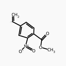 C=[C]c1ccc(C(=O)OC)c([N+](=O)[O-])c1